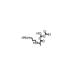 CCCCCCCCCCCCNC(C)C(=O)OB(O)OC(=O)CC